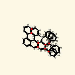 c1ccc(-c2cccc3cccc(-c4ccccc4N(c4ccccc4-c4cccc5ccccc45)c4cccc5c6ccccc6n(-c6ccccc6)c45)c23)cc1